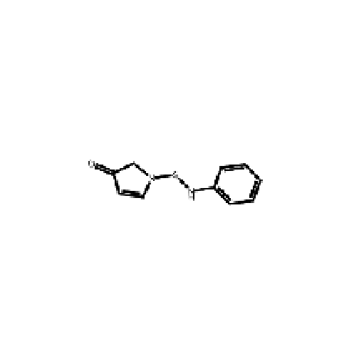 O=C1C=CN(SNc2ccccc2)C1